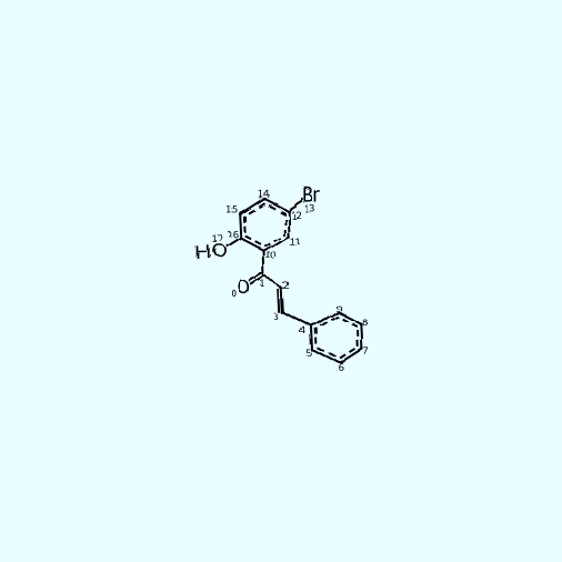 O=C(/C=C/c1ccccc1)c1cc(Br)ccc1O